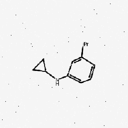 CC(C)c1cccc(NC2CC2)c1